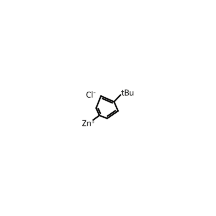 CC(C)(C)c1cc[c]([Zn+])cc1.[Cl-]